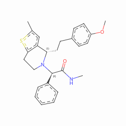 CNC(=O)[C@@H](c1ccccc1)N1CCc2sc(C)cc2[C@@H]1CCc1ccc(OC)cc1